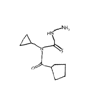 NNC(=S)N(C(=O)C1CCC1)C1CC1